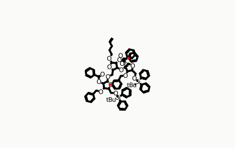 C=CCCCOC1OC(COC2OC(CO[Si](c3ccccc3)(c3ccccc3)C(C)(C)C)C(OCc3ccccc3)C2OC(=O)c2ccccc2)C(OC2(OC(=O)c3ccccc3)COC(CO[Si](c3ccccc3)(c3ccccc3)C(C)(C)C)C2OCc2ccccc2)C1OC(=O)c1ccccc1